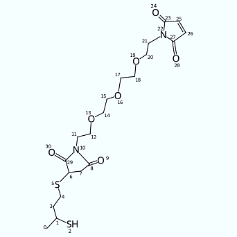 CC(S)CCSC1CC(=O)N(CCOCCOCCOCCN2C(=O)C=CC2=O)C1=O